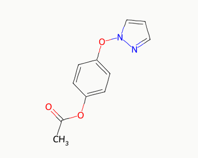 CC(=O)Oc1ccc(On2cccn2)cc1